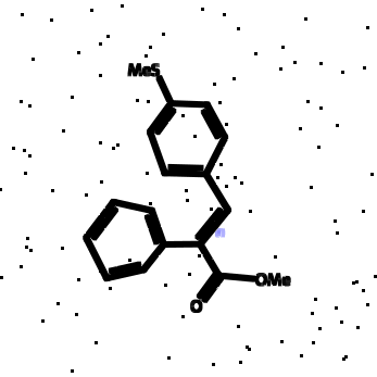 COC(=O)/C(=C/c1ccc(SC)cc1)c1ccccc1